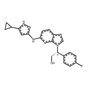 OC[C@@H](c1ccc(F)cc1)n1cnc2ccc(Nc3cc(C4CC4)[nH]n3)nc21